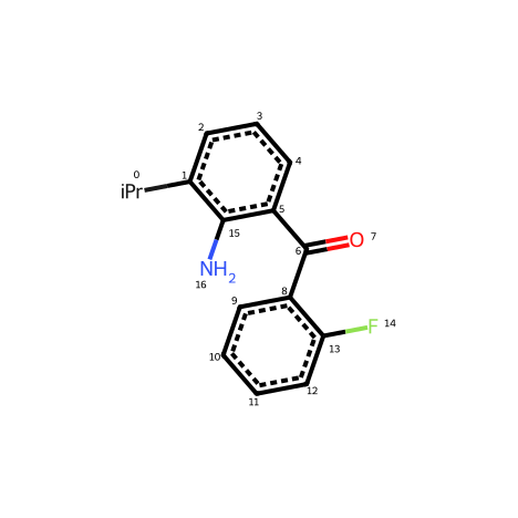 CC(C)c1cccc(C(=O)c2ccccc2F)c1N